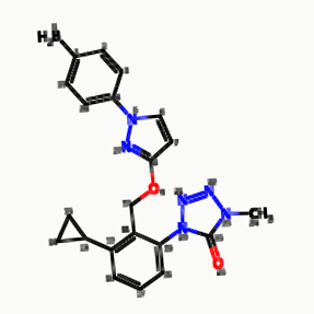 Bc1ccc(-n2ccc(OCc3c(C4CC4)cccc3-n3nnn(C)c3=O)n2)cc1